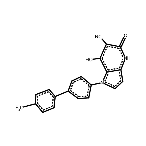 N#Cc1c(O)c2c(ccn2-c2ccc(-c3ccc(C(F)(F)F)cc3)cc2)[nH]c1=O